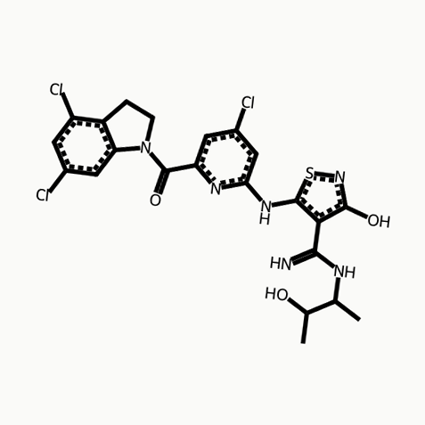 CC(O)C(C)NC(=N)c1c(O)nsc1Nc1cc(Cl)cc(C(=O)N2CCc3c(Cl)cc(Cl)cc32)n1